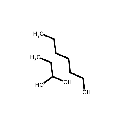 CCC(O)O.CCCCCCO